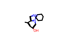 CC1=CC(O)=CN2C1=CNC21CCCCC1